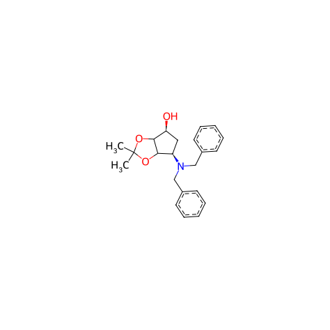 CC1(C)OC2C(O1)[C@@H](O)C[C@H]2N(Cc1ccccc1)Cc1ccccc1